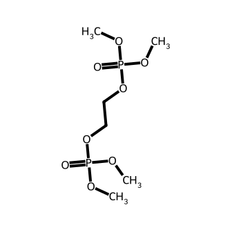 COP(=O)(OC)OCCOP(=O)(OC)OC